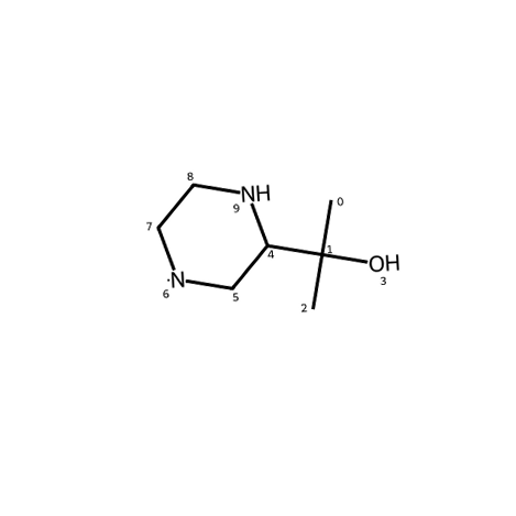 CC(C)(O)C1C[N]CCN1